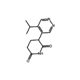 CC(C)c1cnncc1C1CCC(=O)NC1=O